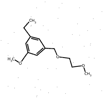 CCc1cc(COCCOC)cc(OC)c1